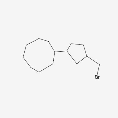 BrCC1CCC(C2CCCCCCC2)C1